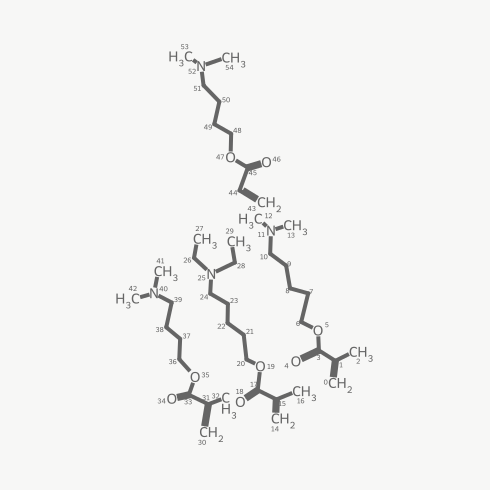 C=C(C)C(=O)OCCCCCN(C)C.C=C(C)C(=O)OCCCCCN(CC)CC.C=C(C)C(=O)OCCCCN(C)C.C=CC(=O)OCCCCN(C)C